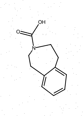 O=C(O)N1CCc2ccccc2CC1